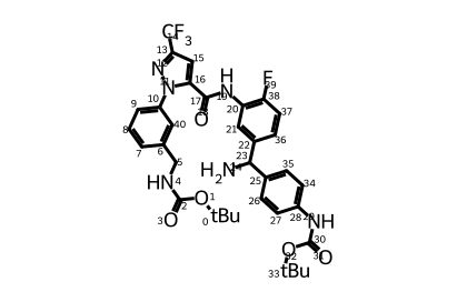 CC(C)(C)OC(=O)NCc1cccc(-n2nc(C(F)(F)F)cc2C(=O)Nc2cc(C(N)c3ccc(NC(=O)OC(C)(C)C)cc3)ccc2F)c1